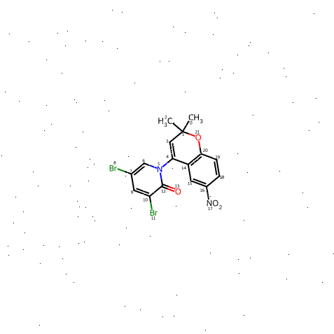 CC1(C)C=C(n2cc(Br)cc(Br)c2=O)c2cc([N+](=O)[O-])ccc2O1